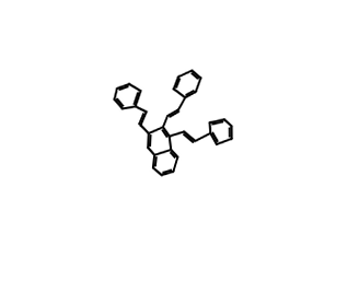 C(=Cc1cc2ccccc2c(C=Cc2ccccc2)c1C=Cc1ccccc1)c1ccccc1